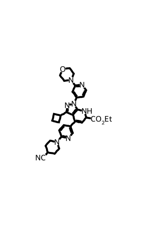 CCOC(=O)C1C=C(c2ccc(N3CCC(C#N)CC3)nc2)c2c(C3CCC3)nn(-c3ccnc(N4CCOCC4)c3)c2N1